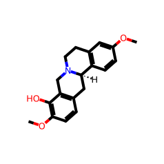 COc1ccc2c(c1)CCN1Cc3c(ccc(OC)c3O)C[C@H]21